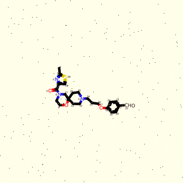 Cc1nc(C(=O)N2CCOC3(CCN(CCCOc4ccc(C=O)cc4)CC3)C2)cs1